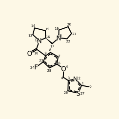 Cc1nc(COc2ccc(C(=O)N3CCC[C@H]3CN3CCCC3)c(F)c2)cs1